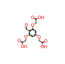 O=[C]c1c(OCC(=O)O)cc(OCC(=O)O)cc1OCC(=O)O